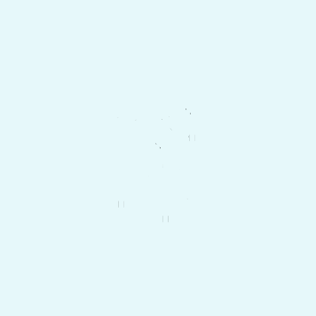 CC(C)(C)OC(=O)N1C[C@H]2CC[C@@H]1[C@H](N)C2